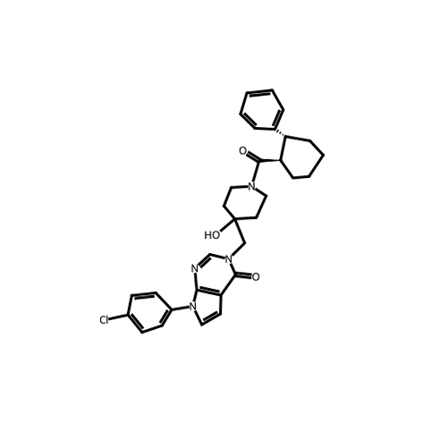 O=C([C@@H]1CCCC[C@H]1c1ccccc1)N1CCC(O)(Cn2cnc3c(ccn3-c3ccc(Cl)cc3)c2=O)CC1